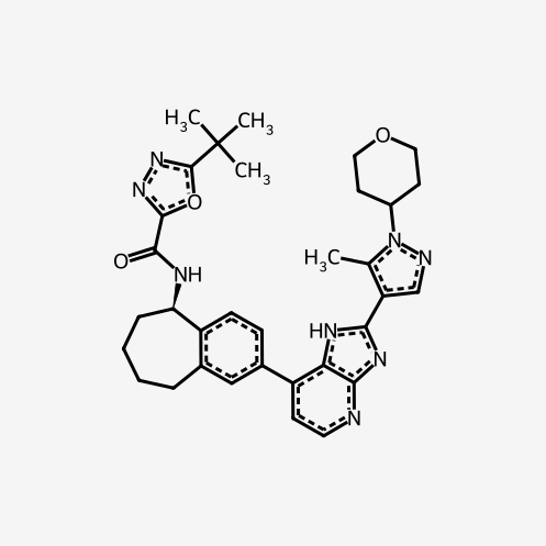 Cc1c(-c2nc3nccc(-c4ccc5c(c4)CCCC[C@H]5NC(=O)c4nnc(C(C)(C)C)o4)c3[nH]2)cnn1C1CCOCC1